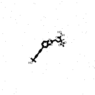 CC(C)(O)C#CC#Cc1ccc2nc(CC[C@](C)(C(=O)NO)S(C)(=O)=O)sc2c1